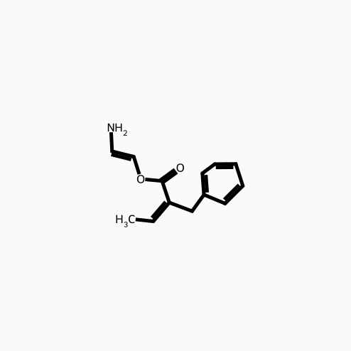 CC=C(Cc1ccccc1)C(=O)OC=CN